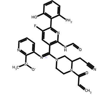 C=CC(=O)N1CCN(/C(=N/c2cccnc2[S+](C)[O-])c2cc(F)c(-c3c(O)cccc3P)nc2NC=O)CC1CC#N